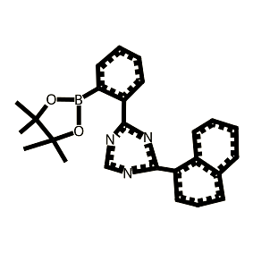 CC1(C)OB(c2ccccc2-c2ncnc(-c3cccc4ccccc34)n2)OC1(C)C